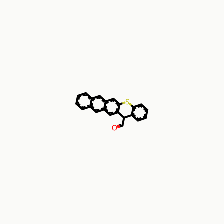 O=CC1c2ccccc2Sc2cc3cc4ccccc4cc3cc21